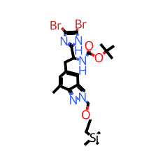 Cc1cc(CC(NC(=O)OC(C)(C)C)c2nc(Br)c(Br)[nH]2)cc2cn(COCC[Si](C)(C)C)nc12